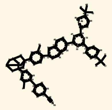 Cc1cc(C23CC4CC(C2)CC(c2ccc(-c5ccc6cc(-c7nc(-c8ccc(C(C)(C)C)cc8)nc(-c8ccc(C(C)(C)C)cc8)n7)ccc6c5)c(C)c2)(C4)C3)ccc1-c1ccc(C#N)cc1